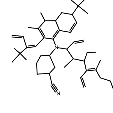 C=C/C(=C\C1=C(C)C(C)C2CC(C(C)(C)C)C=CC2=C1N(C1CCCC(C#N)C1)C(C=C)C(C)C(CC)/C(C=C)=C(\C)CCC)C(C)(C)C